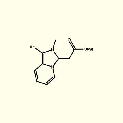 COC(=O)CC1N(C)C(C(C)=O)=C2C=CC=CN21